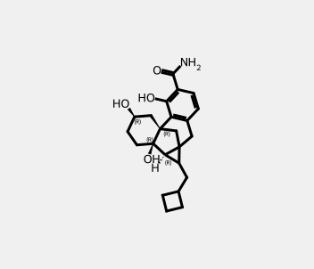 NC(=O)c1ccc2c(c1O)[C@@]13C[C@H](O)CC[C@@]1(O)[C@@H]1C(CC4CCC4)C1(C2)C3